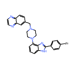 CC(C)c1ccc(-c2nc3c(N4CCN(Cc5ccc6nccnc6c5)CC4)cccc3[nH]2)cc1